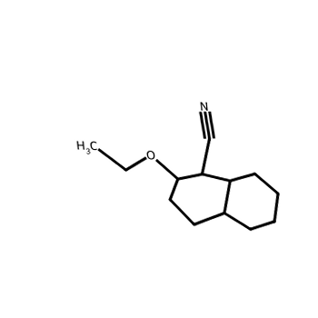 CCOC1CCC2CCCCC2C1C#N